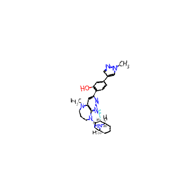 CN1CCCN([C@H]2C[C@@H]3CCC[C@@H](N3)[C@H]2F)c2nnc(-c3ccc(-c4cnn(C)c4)cc3O)cc21